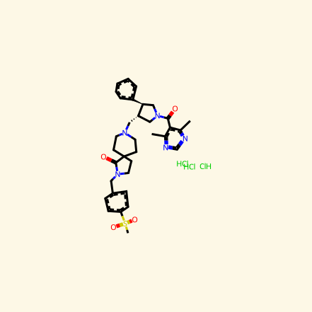 Cc1ncnc(C)c1C(=O)N1C[C@H](CN2CCC3(CC2)CCN(Cc2ccc(S(C)(=O)=O)cc2)C3=O)[C@@H](c2ccccc2)C1.Cl.Cl.Cl